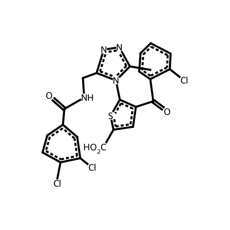 Cc1nnc(CNC(=O)c2ccc(Cl)c(Cl)c2)n1-c1sc(C(=O)O)cc1C(=O)c1ccccc1Cl